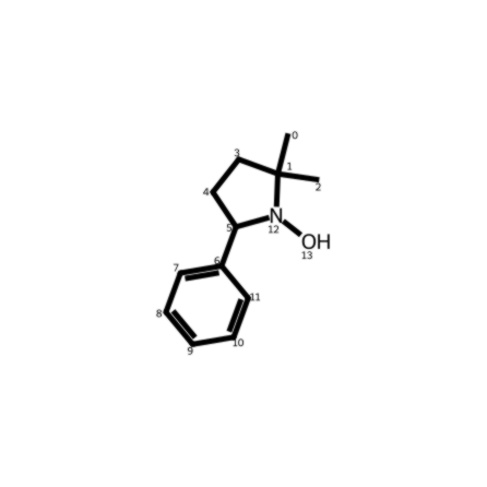 CC1(C)CCC(c2ccccc2)N1O